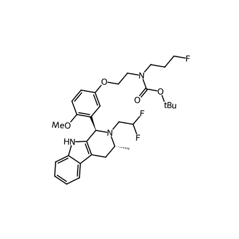 COc1ccc(OCCN(CCCF)C(=O)OC(C)(C)C)cc1[C@@H]1c2[nH]c3ccccc3c2C[C@@H](C)N1CC(F)F